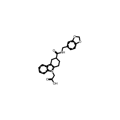 O=C(O)Cn1c2c(c3ccccc31)CC(C(=O)NCc1ccc3c(c1)OCO3)CC2